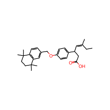 CCC(C)=CC(CC(=O)O)c1ccc(OCc2ccc3c(c2)C(C)(C)CCC3(C)C)cc1